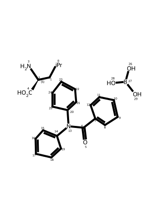 CC(C)C[C@H](N)C(=O)O.O=C(c1ccccc1)N(c1ccccc1)c1ccccc1.OB(O)O